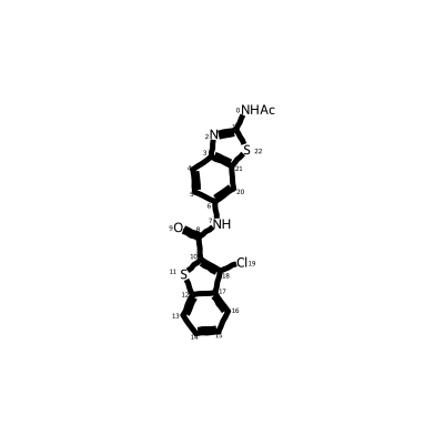 CC(=O)Nc1nc2ccc(NC(=O)c3sc4ccccc4c3Cl)cc2s1